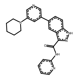 O=C(Nc1ccccn1)c1n[nH]c2ccc(-c3cncc(N4CCCCC4)c3)cc12